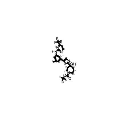 Cc1cc(Nc2nccc(C(F)(F)F)n2)cc(-c2cnc([C@@]3(O)CCCN(C(=O)OC(C)(C)C)CC3)s2)c1